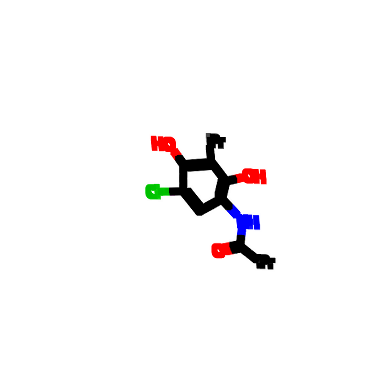 CC(C)C(=O)Nc1cc(Cl)c(O)c(C(C)C)c1O